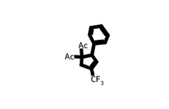 CC(=O)C1(C(C)=O)CC(C(F)(F)F)=CC1c1ccccc1